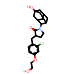 O=C1C(Cc2ccc(OCCO)cc2Cl)CCN1C1C2CC3CC1CC(O)(C3)C2